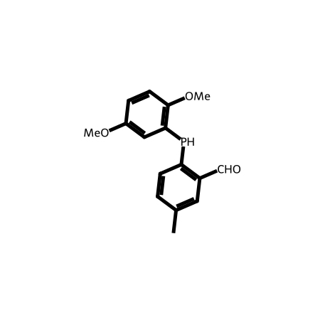 COc1ccc(OC)c(Pc2ccc(C)cc2C=O)c1